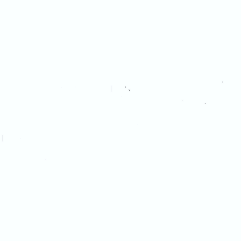 CCCCCC(=O)OC(C)CC(c1ccc(OC(=O)OCC)c(OC(=O)OCC)c1)[C@H](N)C(=O)O